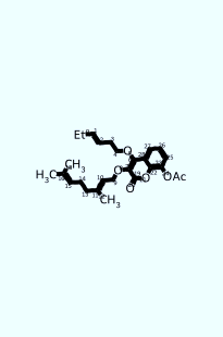 CC/C=C/CCOc1c(OC/C=C(\C)CCC=C(C)C)c(=O)oc2c(OC(C)=O)cccc12